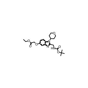 CCOC(=O)COc1ccc2c(c1)nc(CNC(=O)OC(C)(C)C)n2C1CCOCC1